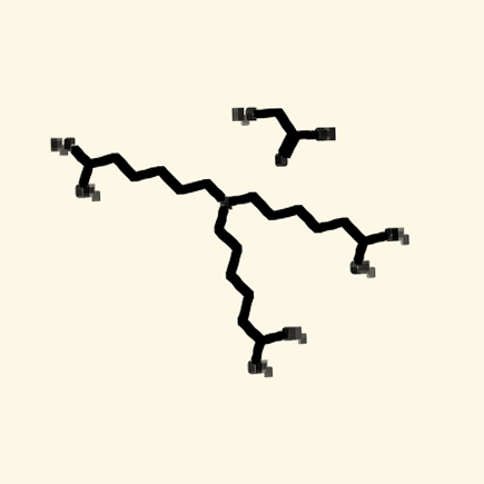 CC(C)CCCCCN(CCCCCC(C)C)CCCCCC(C)C.CCC(=O)O